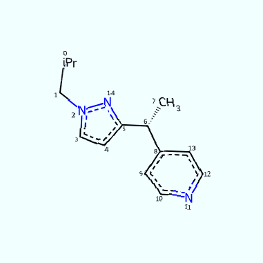 CC(C)Cn1ccc([C@H](C)c2ccncc2)n1